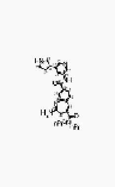 CCCN(CCC)C(=O)C1=Cc2ccc(C(=O)Nc3cncc(C4CCNC4)c3)cc2N=C(N)C1